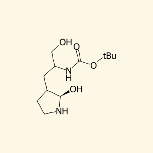 CC(C)(C)OC(=O)NC(CO)CC1CCN[C@@H]1O